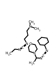 CC(N=C=NC1CCCCC1)N1CCOCC1.CCN=C=NCCCN(C)C